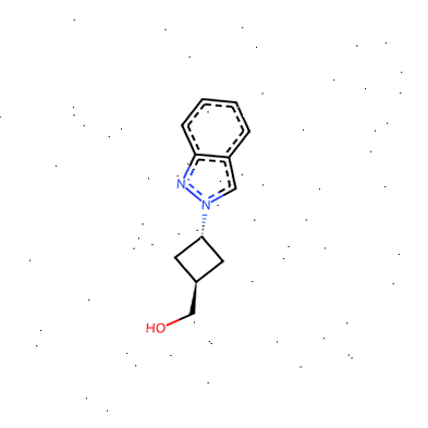 OC[C@H]1C[C@H](n2cc3ccccc3n2)C1